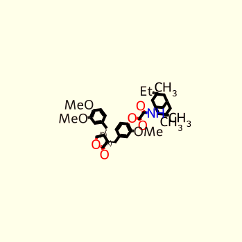 CCC1(C)CC2CC(C)(C)CC(NC(=O)C(=O)Oc3ccc(C[C@H]4C(=O)OC[C@@H]4Cc4ccc(OC)c(OC)c4)cc3OC)(C2)C1